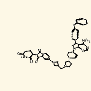 Nc1ncnc2c1c(-c1ccc(Oc3ccccc3)cc1)nn2C1CCN([C@@H]2CCN(CC3CN(c4ccc5c(c4)C(=O)N(C4CCC(=O)NC4=O)C5=O)C3)C2)CC1